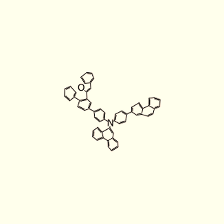 c1ccc(-c2ccc(-c3ccc(N(c4ccc(-c5ccc6c(ccc7ccccc76)c5)cc4)c4cc5ccccc5c5ccccc45)cc3)cc2-c2cc3ccccc3o2)cc1